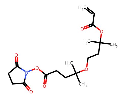 C=CC(=O)OC(C)(C)CCOC(C)(C)CCC(=O)ON1C(=O)CCC1=O